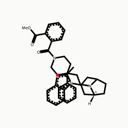 COC(=O)c1ccccc1C(=O)N1CCC(CCN2C3CC[C@@H]2CC(n2c(C)nc4ccccc42)C3)(c2ccccc2)CC1